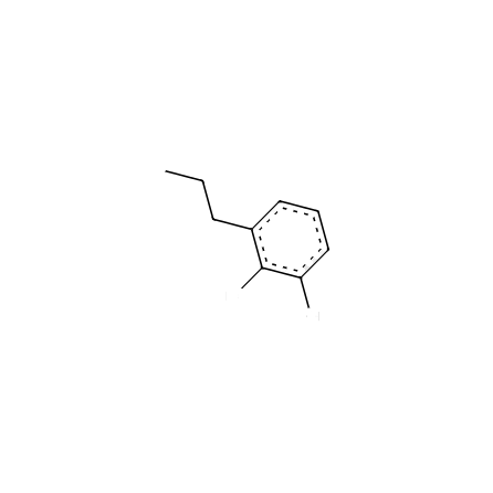 CCCc1cccc(O)c1O